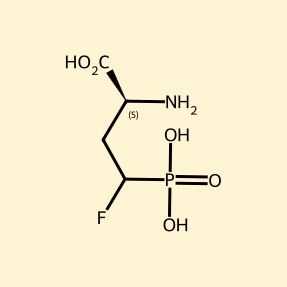 N[C@@H](CC(F)P(=O)(O)O)C(=O)O